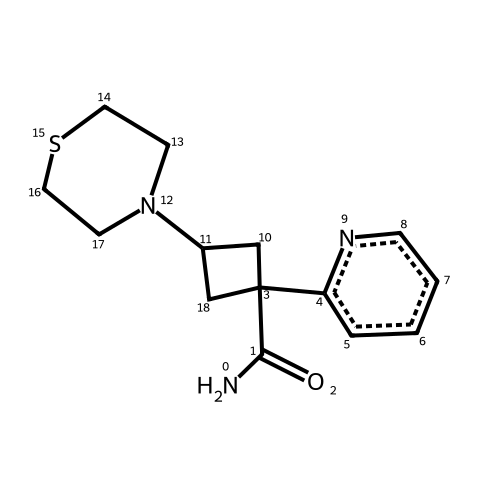 NC(=O)C1(c2ccccn2)CC(N2CCSCC2)C1